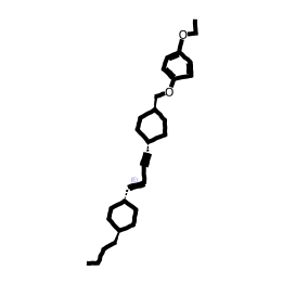 CCCC[C@H]1CC[C@H](/C=C/C#C[C@H]2CC[C@H](COc3ccc(OCC)cc3)CC2)CC1